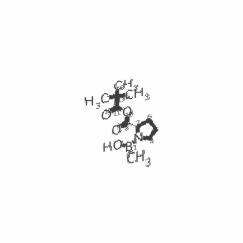 CB(O)N1CCC[C@H]1C(=O)OC(=O)C(C)(C)C